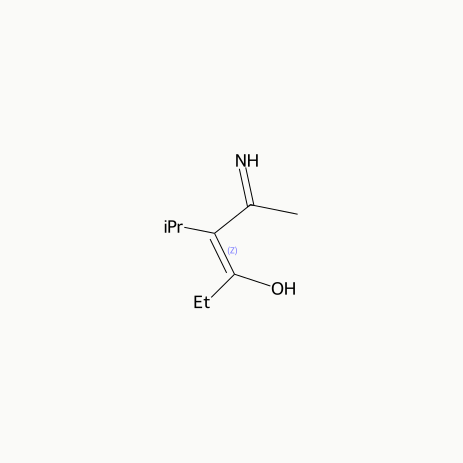 CC/C(O)=C(/C(C)=N)C(C)C